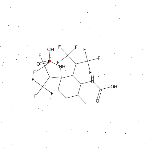 CC1CCC(NC(=O)O)(C(C(F)(F)F)C(F)(F)F)C(C(C(F)(F)F)C(F)(F)F)C1NC(=O)O